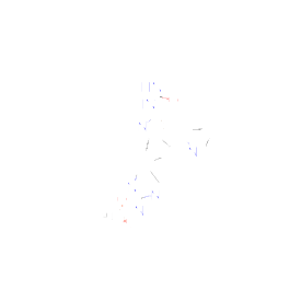 CCNC(=O)Nc1nc2cc(-c3cnc(NS(=O)(=O)C(C)(C)C)nc3)cc(-c3ncccc3C)c2s1